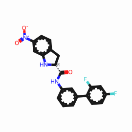 O=C(Nc1cccc(-c2ccc(F)cc2F)c1)[C@H]1Cc2ccc([N+](=O)[O-])cc2N1